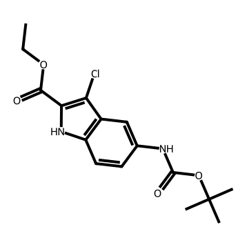 CCOC(=O)c1[nH]c2ccc(NC(=O)OC(C)(C)C)cc2c1Cl